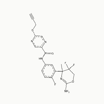 C#CCOc1cnc(C(=O)Nc2ccc(F)c(C3(C)N=C(N)OCC3(F)F)c2)cn1